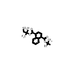 CCC(C)(OC(=O)c1ccc(C(=O)OC(C)(CS(=O)(=O)O)C(F)(F)F)c2ccccc12)C(F)(F)F